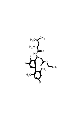 CCOC(=O)C[C@H](NC(=O)[C@@H](N)CC(C)C)c1cc(-c2c(C)cc(F)cc2C)cc(F)c1F